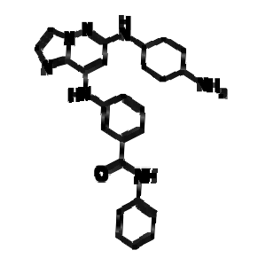 NC1CCC(Nc2cc(Nc3cccc(C(=O)Nc4ccccc4)c3)c3nccn3n2)CC1